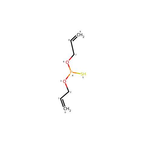 C=CCOP(S)OCC=C